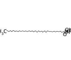 CCCCCCCCCCCCCCCCCCCCCCCCCCCCCCCCCCCCCCC(=O)N(O)N=C=O